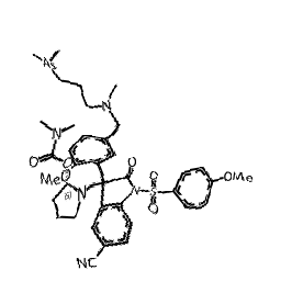 COc1ccc(S(=O)(=O)N2C(=O)C(c3cc(CN(C)CCC[As](C)C)ccc3OC)(N3CCC[C@@H]3OC(=O)N(C)C)c3cc(C#N)ccc32)cc1